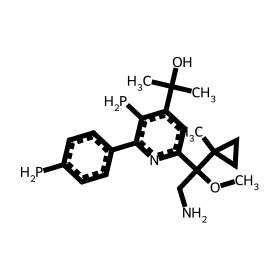 COC(CN)(c1cc(C(C)(C)O)c(P)c(-c2ccc(P)cc2)n1)C1(C)CC1